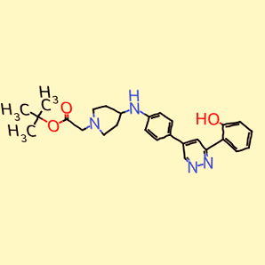 CC(C)(C)OC(=O)CN1CCC(Nc2ccc(-c3cnnc(-c4ccccc4O)c3)cc2)CC1